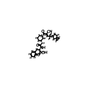 CC(C)(C=C(C#N)C(=O)N1CCC[C@@H](CC(=O)NC(Cc2ccccc2)B(O)O)C1)N1CCC(F)(F)C1